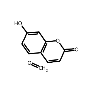 C=O.O=c1ccc2ccc(O)cc2o1